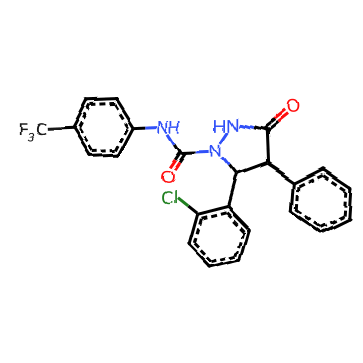 O=C1NN(C(=O)Nc2ccc(C(F)(F)F)cc2)C(c2ccccc2Cl)C1c1ccccc1